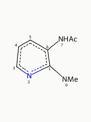 CNc1ncccc1NC(C)=O